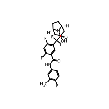 Cc1cc(NC(=O)c2cc(C(F)(F)C(=O)N3[C@@H]4CC[C@H]3C[C@@H](O)C4)c(F)cc2F)ccc1F